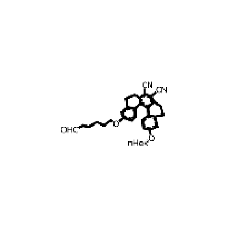 CCCCCCOc1ccc2c(c1)CCc1c(C#N)c(C#N)c3c(c1-2)-c1ccc(OCCCCCC=O)cc1CC3